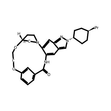 CC(C)[C@H]1CC[C@H](n2cc3cc4c(cc3n2)N2CC[C@H](C2)OCCOc2cccc(c2)C(=O)N4)CC1